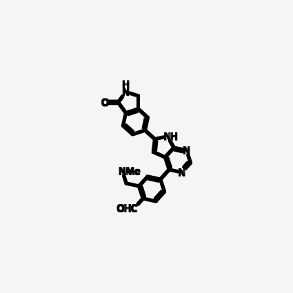 CNCc1cc(-c2ncnc3[nH]c(-c4ccc5c(c4)CNC5=O)cc23)ccc1C=O